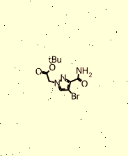 CC(C)(C)OC(=O)Cn1cc(Br)c(C(N)=O)n1